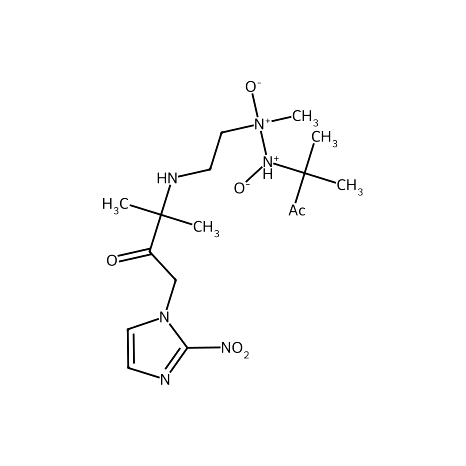 CC(=O)C(C)(C)[NH+]([O-])[N+](C)([O-])CCNC(C)(C)C(=O)Cn1ccnc1[N+](=O)[O-]